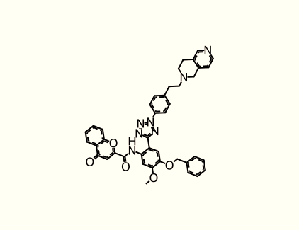 COc1cc(NC(=O)c2cc(=O)c3ccccc3o2)c(-c2nnn(-c3ccc(CCN4CCc5cnccc5C4)cc3)n2)cc1OCc1ccccc1